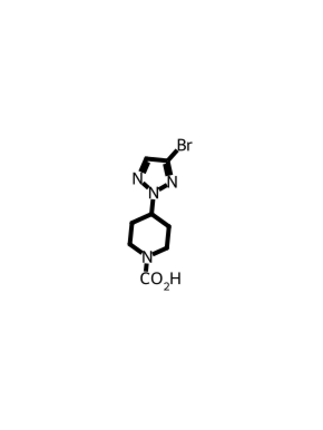 O=C(O)N1CCC(n2ncc(Br)n2)CC1